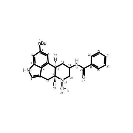 CCCCc1cc2c3c(c[nH]c3c1)C[C@@H]1[C@@H]2CC(NC(=O)c2ccccc2)CN1C